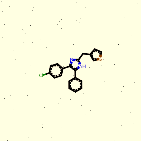 Clc1ccc(-c2nc(Cc3ccsc3)[nH]c2-c2ccccc2)cc1